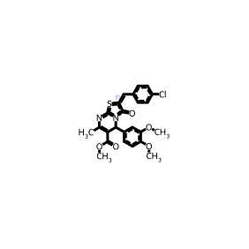 COC(=O)C1=C(C)N=c2s/c(=C/c3ccc(Cl)cc3)c(=O)n2C1c1ccc(OC)c(OC)c1